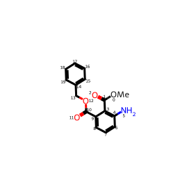 COC(=O)c1c(N)cccc1C(=O)OCc1ccccc1